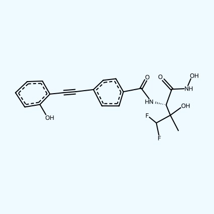 CC(O)(C(F)F)[C@H](NC(=O)c1ccc(C#Cc2ccccc2O)cc1)C(=O)NO